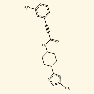 Cc1cccc(C#CC(=O)NC2CCN(c3nc(C)cs3)CC2)c1